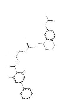 N=C(N)Nc1ccc2c(c1)C(NCC(=O)NC[C@H](NC(=O)c1c(Cl)cc(-c3ccccc3)cc1Cl)C(=O)O)CCC2